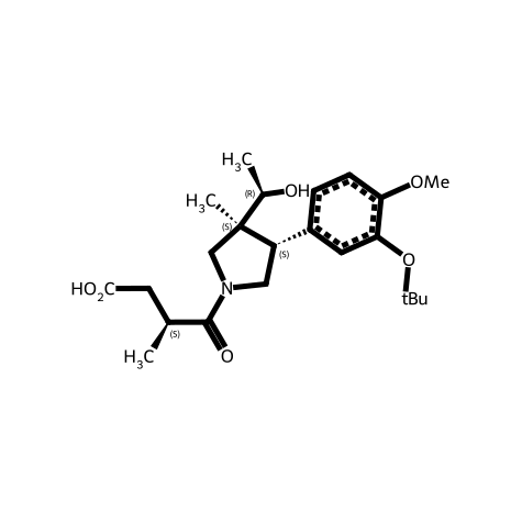 COc1ccc([C@@H]2CN(C(=O)[C@@H](C)CC(=O)O)C[C@@]2(C)[C@@H](C)O)cc1OC(C)(C)C